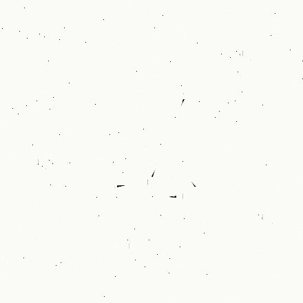 CCCOCCC[C@@H](C)[C@H]1CC[C@H]2C3[C@H](OCCCN)CC4C[C@H](OCCCN)CC[C@]4(C)[C@H]3C[C@H](OCCCN)[C@]12C